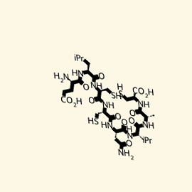 CC(C)C[C@H](NC(=O)[C@@H](N)CCC(=O)O)C(=O)N[C@@H](CS)C(=O)N[C@@H](CS)C(=O)N[C@@H](CC(N)=O)C(=O)N[C@H](C(=O)N[C@@H](C)C(=O)N[C@@H](CS)C(=O)O)C(C)C